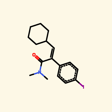 CN(C)C(=O)C(=CC1CCCCC1)c1ccc(I)cc1